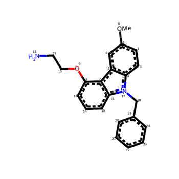 COc1ccc2c(c1)c1c(OCCN)cccc1n2Cc1ccccc1